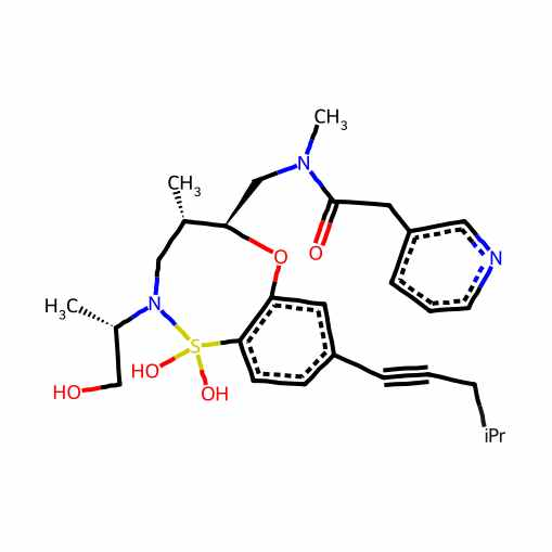 CC(C)CC#Cc1ccc2c(c1)O[C@H](CN(C)C(=O)Cc1cccnc1)[C@@H](C)CN([C@@H](C)CO)S2(O)O